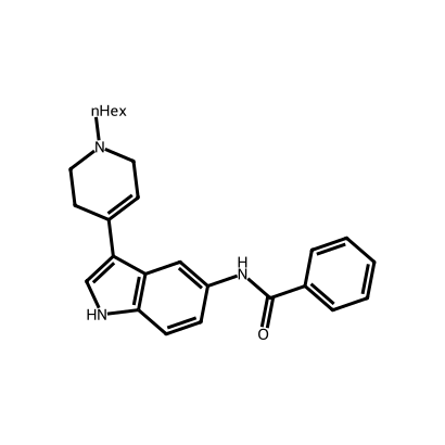 CCCCCCN1CC=C(c2c[nH]c3ccc(NC(=O)c4ccccc4)cc23)CC1